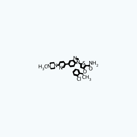 C[C@@H](Oc1cc(-n2cnc3cc(-c4ccc(N5CCN(C)CC5)nc4)ccc32)sc1C(N)=O)c1ccccc1Cl